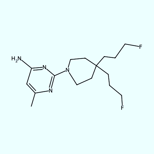 Cc1cc(N)nc(N2CCC(CCCF)(CCCF)CC2)n1